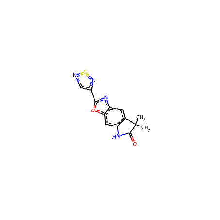 CC1(C)C(=O)Nc2cc3oc(-c4cnsn4)nc3cc21